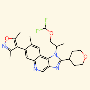 Cc1cc2c(cc1-c1c(C)noc1C)ncc1nc(C3CCOCC3)n(C(C)COC(F)F)c12